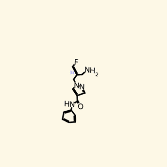 NC/C(=C\F)Cn1cc(C(=O)Nc2ccccc2)cn1